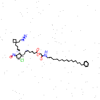 [N-]=[N+]=NCCC1(CC/C=C/[C@@H]2[C@@H](C/C=C\CCCC(=O)OCC(=O)NCCCCCCCCCCCCCCCc3ccccc3)[C@H](Cl)C[C@H]2N=O)CCC1